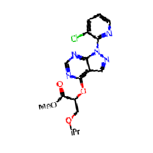 COC(=O)C(COC(C)C)Oc1ncnc2c1cnn2-c1ncccc1Cl